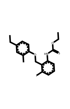 CCOC(=S)Nc1cccc(I)c1COc1ccc(CC)cc1C